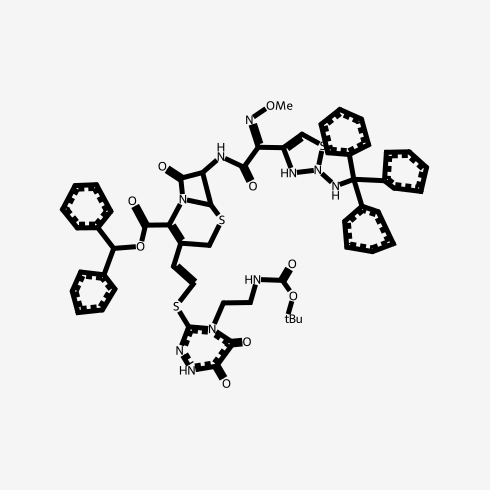 CON=C(C(=O)NC1C(=O)N2C(C(=O)OC(c3ccccc3)c3ccccc3)=C(C=CSc3n[nH]c(=O)c(=O)n3CCNC(=O)OC(C)(C)C)CSC12)C1=CSN(NC(c2ccccc2)(c2ccccc2)c2ccccc2)N1